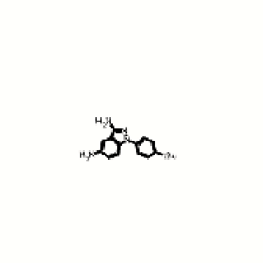 CC(C)(C)c1ccc(-n2nc(N)c3cc(N)ccc32)cc1